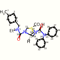 CCN(Cc1ccc(C)cc1)C(=O)N1C[S@@]2(C(=O)O)C[C@H]1CN2C(=O)N(c1ccccc1)c1ccccc1